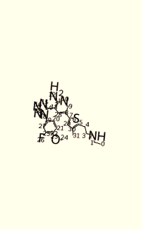 CCNCCc1sc(-c2cnc(N)c(-c3nnnn3-c3ccc(OC)c(F)c3)c2)cc1C